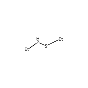 CCPSCC